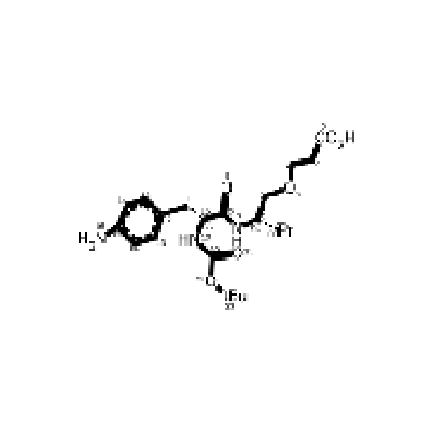 CC(C)[C@@H](COCCC(=O)O)NC(=O)[C@@H](Cc1ccc(N)cc1)NC(=O)OC(C)(C)C